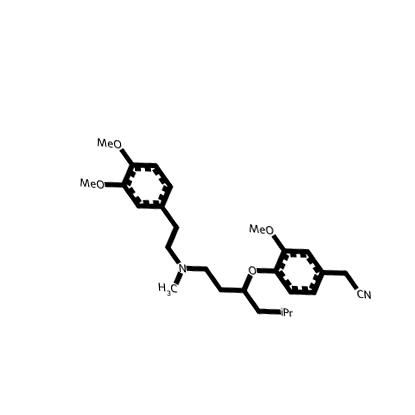 COc1ccc(CCN(C)CCC(CC(C)C)Oc2ccc(CC#N)cc2OC)cc1OC